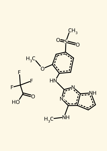 CNc1nc(Nc2ccc(S(C)(=O)=O)cc2OC)nc2[nH]ccc12.O=C(O)C(F)(F)F